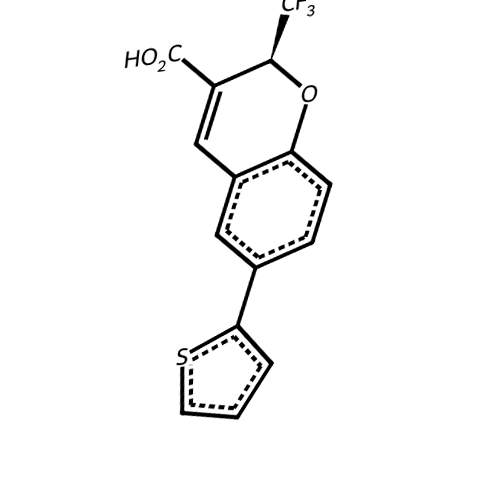 O=C(O)C1=Cc2cc(-c3cccs3)ccc2O[C@@H]1C(F)(F)F